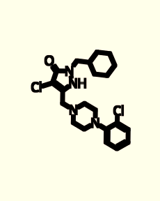 O=c1c(Cl)c(CN2CCN(c3ccccc3Cl)CC2)[nH]n1CC1CCCCC1